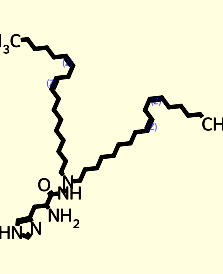 CCCCC/C=C\C/C=C\CCCCCCCCN(CCCCCCCC/C=C\C/C=C\CCCCC)NC(=O)C(N)Cc1c[nH]cn1